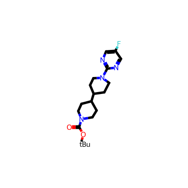 CC(C)(C)OC(=O)N1CCC(C2CCN(c3ncc(F)cn3)CC2)CC1